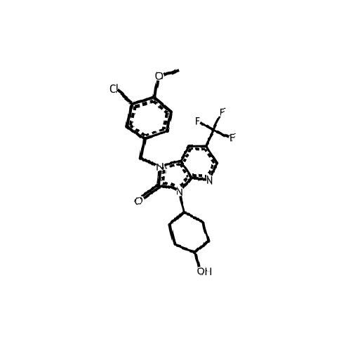 COc1ccc(Cn2c(=O)n(C3CCC(O)CC3)c3ncc(C(F)(F)F)cc32)cc1Cl